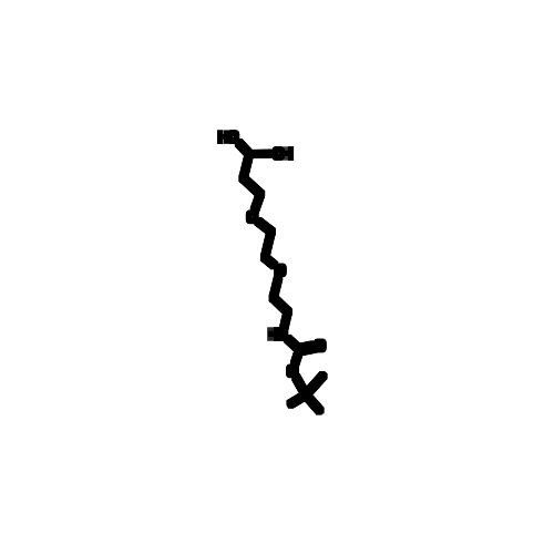 CC(C)(C)OC(=O)NCCOCCOCCC(O)O